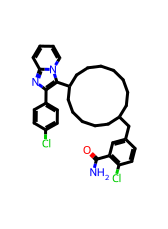 NC(=O)c1cc(CC2CCCCCCCC(c3c(-c4ccc(Cl)cc4)nc4ccccn34)CCCCC2)ccc1Cl